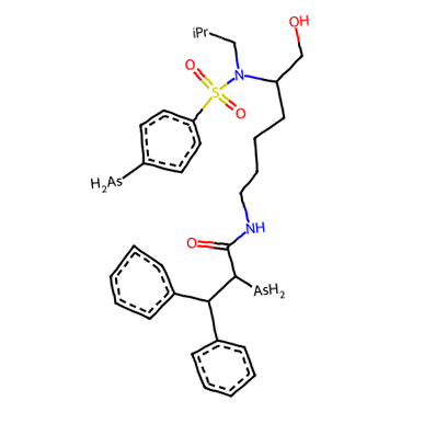 CC(C)CN(C(CO)CCCCNC(=O)C([AsH2])C(c1ccccc1)c1ccccc1)S(=O)(=O)c1ccc([AsH2])cc1